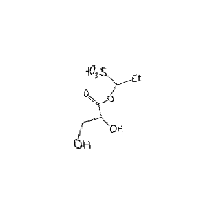 CCC(OC(=O)C(O)CO)S(=O)(=O)O